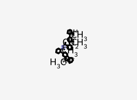 C=C(/C=C(\C)c1ccccc1-c1ccc2c(c1)[C@H](C)[n+]1ccccc1-2)c1ccccc1-c1ccc(-c2cccc[n+]2C)cc1C